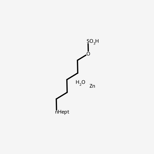 CCCCCCCCCCCCOS(=O)(=O)O.O.[Zn]